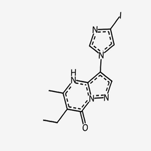 CCc1c(C)[nH]c2c(-n3cnc(I)c3)cnn2c1=O